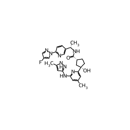 Cc1cc(Nc2cc(C)[nH]n2)nc([C@]2(O)CC[C@@H](C(=O)N[C@@H](C)c3ccc(-n4cc(F)cn4)nc3)C2)c1